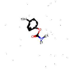 CCN(CC)C(=O)Oc1[c]cc(C(C)(C)C)cc1